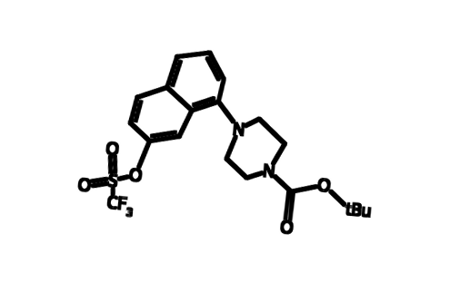 CC(C)(C)OC(=O)N1CCN(c2cccc3ccc(OS(=O)(=O)C(F)(F)F)cc23)CC1